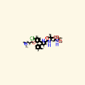 Cc1ccccc1-c1ccc(C(=O)N[C@@H](CC(=O)NS(C)(=O)=O)C(C)(C)C)nc1-c1ccc(Cl)c(OCCCN(C)C)c1